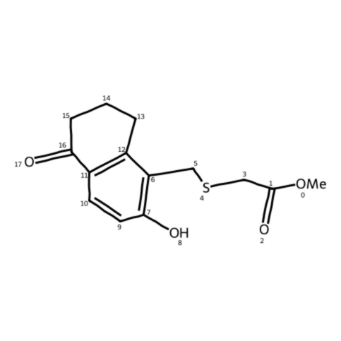 COC(=O)CSCc1c(O)ccc2c1CCCC2=O